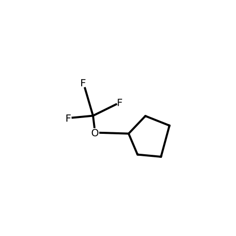 FC(F)(F)OC1CCCC1